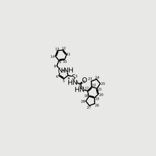 O=C(NSC1C=CN(Cc2ccccc2)N1)Nc1c2c(cc3c1CCC3)CCC2